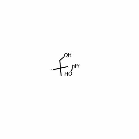 CCCO.[CH2]C(C)(C)CO